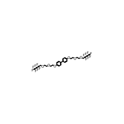 FC(F)(F)C(F)(F)C(F)(F)COCCOCCOc1ccc(-c2ccc(OCCOCCOCC(F)(F)C(F)(F)C(F)(F)F)cc2)cc1